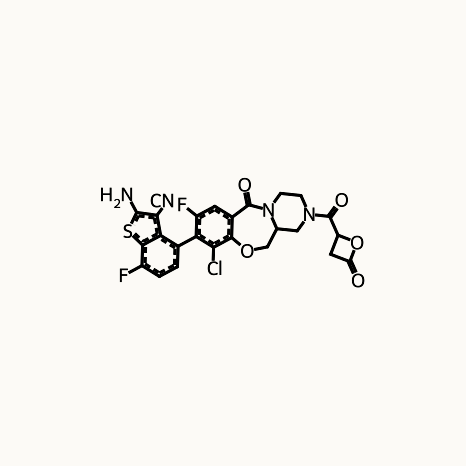 N#Cc1c(N)sc2c(F)ccc(-c3c(F)cc4c(c3Cl)OCC3CN(C(=O)C5CC(=O)O5)CCN3C4=O)c12